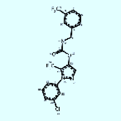 O=C(NCc1cccc(C(F)(F)F)c1)Oc1cnn(-c2cccc(Cl)c2)c1C(F)(F)F